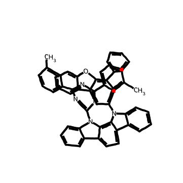 Cc1cccc(-c2nc(-c3cccc(C)c3)nc(-n3c4ccccc4c4ccc5c6ccccc6n(-c6cc(-c7ccccc7)c7oc8ccccc8c7c6)c5c43)n2)c1